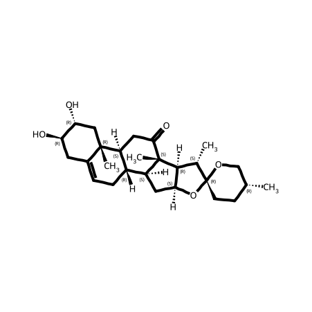 C[C@@H]1CC[C@@]2(OC1)O[C@H]1C[C@H]3[C@@H]4CC=C5C[C@@H](O)[C@H](O)C[C@]5(C)[C@H]4CC(=O)[C@]3(C)[C@H]1[C@@H]2C